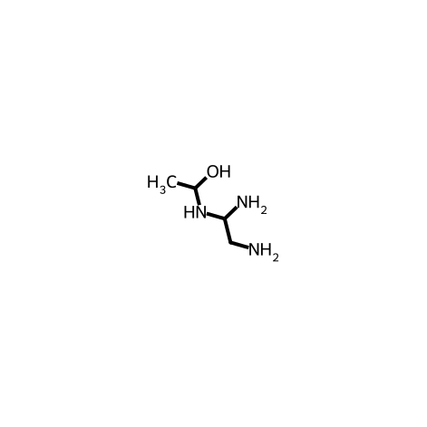 CC(O)NC(N)CN